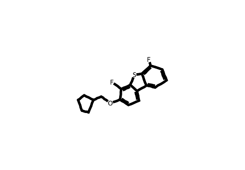 Fc1cccc2c1sc1c(F)c(OCC3CCCC3)ccc12